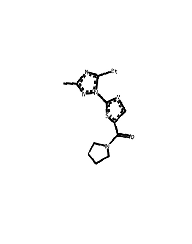 CCc1nc(C)nn1-c1ncc(C(=O)N2CCCC2)s1